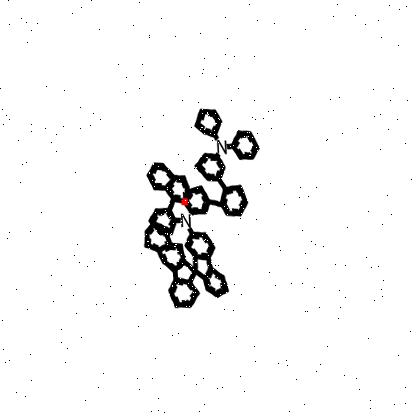 c1ccc(N(c2ccccc2)c2cccc(-c3ccccc3-c3cccc(N(c4ccc5c(c4)C4(c6ccccc6-5)c5ccccc5-c5cc6ccccc6cc54)c4ccccc4-c4cccc5ccccc45)c3)c2)cc1